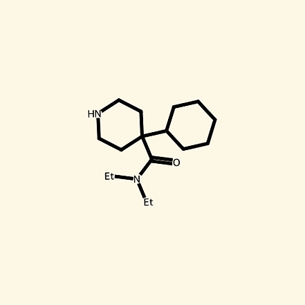 CCN(CC)C(=O)C1(C2CCCCC2)CCNCC1